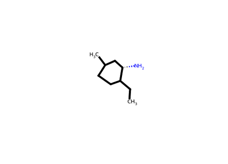 CCC1CCC(C)C[C@@H]1N